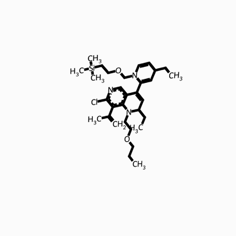 C=C(C)c1c(Cl)ncc2c1N(CCOCCC)C(CC)C=C2C1=CC(CC)C=CN1COCC[Si](C)(C)C